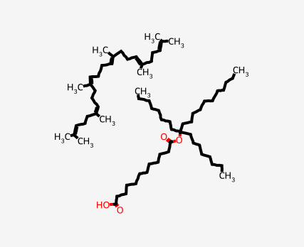 CC(C)=CCCC(C)=CCCC(C)=CCCC=C(C)CCC=C(C)CCC=C(C)C.CCCCCCCCCCCC(CCCCCCCC)(CCCCCCCC)OC(=O)CCCCCCCCCCC(=O)O